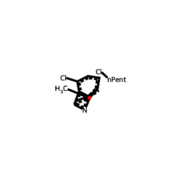 CCCCCCl.Cc1cc2ccc(Cl)c3c1nc23